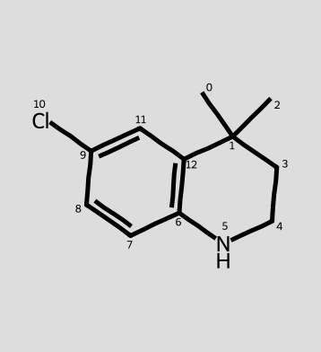 CC1(C)CCNc2ccc(Cl)cc21